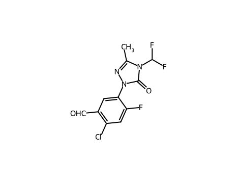 Cc1nn(-c2cc(C=O)c(Cl)cc2F)c(=O)n1C(F)F